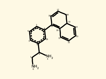 NCC(N)c1cccc(C2=C3C=CC=CC3CC=C2)c1